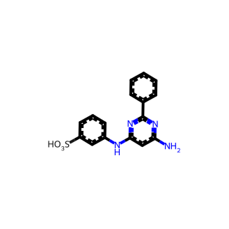 Nc1cc(Nc2cccc(S(=O)(=O)O)c2)nc(-c2ccccc2)n1